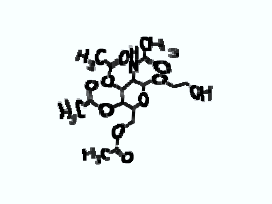 CC(=O)NC1C(OCCO)OC(COC(C)=O)C(OC(C)=O)C1OC(C)=O